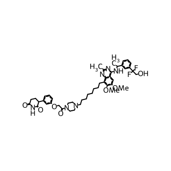 COc1cc2c(NC(C)c3cccc(C(F)(F)CO)c3)nc(C)nc2c(CCCCCCCCN2CCN(C(=O)COc3cccc(C4CCC(=O)NC4=O)c3)CC2)c1OC